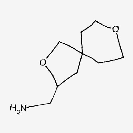 NCC1CC2(CCOCC2)CO1